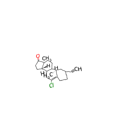 C#CC1CCC2=C(Cl)C[C@@H]3[C@@H](CC[C@]4(C)C(=O)CC[C@@H]34)[C@@]2(C)C1